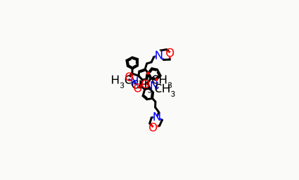 CN(C)C1(C(=O)c2ccccc2)C=C(CCCN2CCOCC2)C=CC1C(=O)C1C=CC(CCCN2CCOCC2)=CC1(C(=O)c1ccccc1)N(C)C